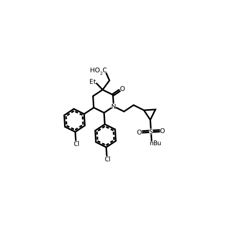 CCCCS(=O)(=O)C1CC1CCN1C(=O)C(CC)(CC(=O)O)CC(c2cccc(Cl)c2)C1c1ccc(Cl)cc1